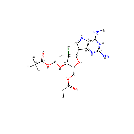 CCC(=O)OC[C@H]1OC(C2C=Nc3c(NC)nc(N)nc32)[C@](C)(F)[C@@H]1OCOC(=O)C(C)(C)C